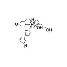 CN(C)c1cccc(-c2ccc([C@H]3C[C@]4(C)[C@@H](CC[C@@]4(O)CCCO)[C@@H]4CCC5=CC(=O)CCC5=C43)cc2)c1